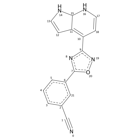 N#Cc1cccc(-c2nc(C3=C4C=CNC4NC=C3)no2)c1